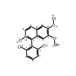 CCCOc1cc2c(-c3c(Cl)cccc3Cl)[n+]([O-])ccc2cc1OCC